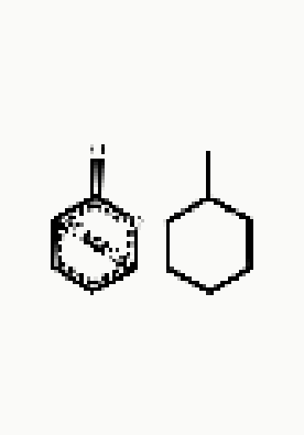 CC1CCCCC1.O=c1oc2ccc1cc2